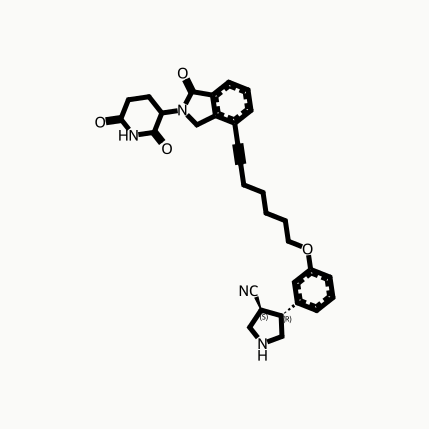 N#C[C@@H]1CNC[C@H]1c1cccc(OCCCCCC#Cc2cccc3c2CN(C2CCC(=O)NC2=O)C3=O)c1